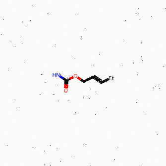 CCC=CCOC([NH])=O